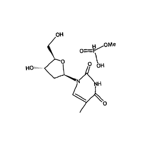 CO[PH](=O)O.Cc1cn([C@H]2C[C@H](O)[C@@H](CO)O2)c(=O)[nH]c1=O